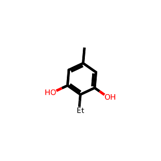 CCc1c(O)cc(C)cc1O